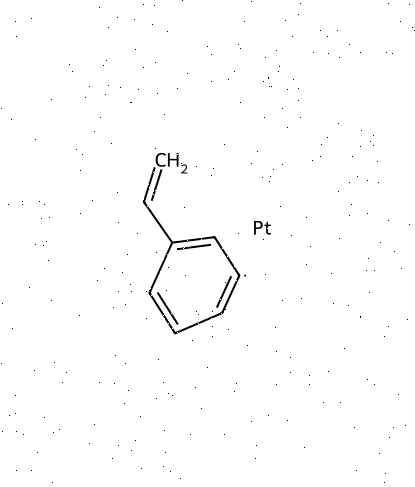 C=Cc1c[c]ccc1.[Pt]